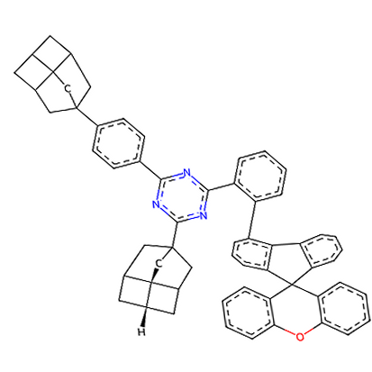 c1ccc2c(c1)Oc1ccccc1C21c2ccccc2-c2c(-c3ccccc3-c3nc(-c4ccc(C56CC7CC8CC(C5)C87C6)cc4)nc(C45CC6C[C@H]7CC(C4)[C@@]67C5)n3)cccc21